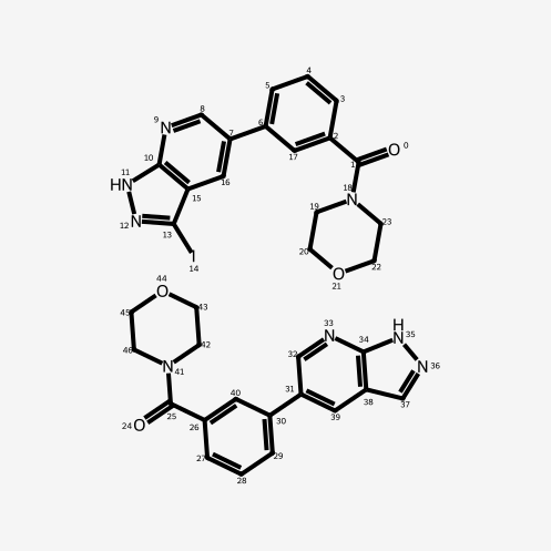 O=C(c1cccc(-c2cnc3[nH]nc(I)c3c2)c1)N1CCOCC1.O=C(c1cccc(-c2cnc3[nH]ncc3c2)c1)N1CCOCC1